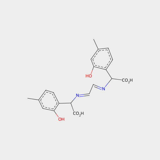 Cc1ccc(C(N=CC=NC(C(=O)O)c2ccc(C)cc2O)C(=O)O)c(O)c1